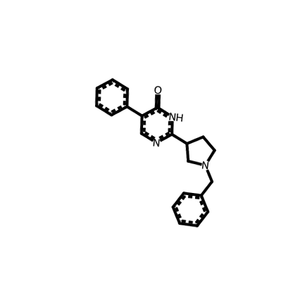 O=c1[nH]c(C2CCN(Cc3ccccc3)C2)ncc1-c1ccccc1